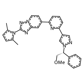 COC[C@@H](c1ccccc1)n1cc(-c2cccc(-c3ccn4nc(-n5c(C)ccc5C)nc4c3)n2)cn1